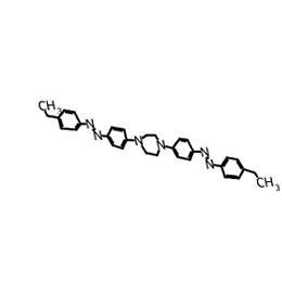 CCc1ccc(/N=N/c2ccc(N3CCN(c4ccc(/N=N/c5ccc(CC)cc5)cc4)CC3)cc2)cc1